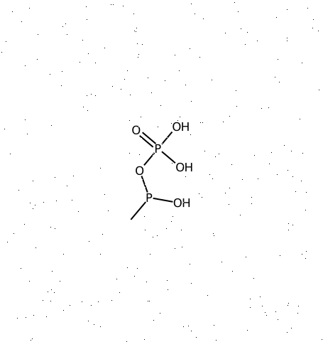 CP(O)OP(=O)(O)O